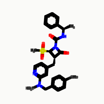 COc1ccc(CN(C(=O)O)c2cc(C[C@H]3C(=O)N(C(=O)N[C@H](C)c4ccccc4)[C@@H]3S(C)(=O)=O)ccn2)cc1